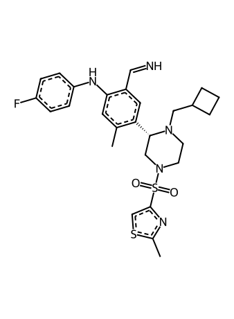 Cc1nc(S(=O)(=O)N2CCN(CC3CCC3)[C@@H](c3cc(C=N)c(Nc4ccc(F)cc4)cc3C)C2)cs1